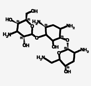 NCC1O[C@H](O[C@@H]2C(N)C[C@@H](N)C(OC3O[C@H](CO)[C@@H](O)C(N)[C@H]3O)C2O)C(N)C[C@@H]1O